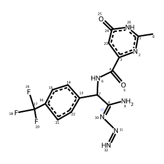 Cc1nc(C(=O)NC(/C(N)=N/N=N)c2ccc(C(F)(F)F)cc2)cc(=O)[nH]1